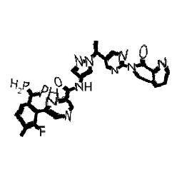 Cc1ccc(C(P)P)c(-c2cncc(C(=O)Nc3cnn(C(C)c4cnc(N5Cc6cccnc6C5=O)nc4)c3)n2)c1F